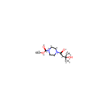 CC(C)(O)CC(=O)N1CCN(C(=O)OC(C)(C)C)CC1